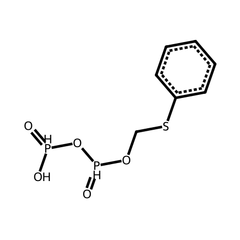 O=[PH](O)O[PH](=O)OCSc1ccccc1